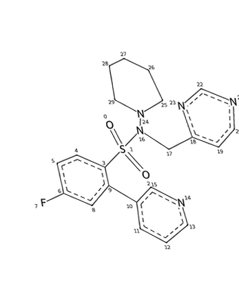 O=S(=O)(c1ccc(F)cc1-c1cccnc1)N(Cc1ccncn1)N1CCCCC1